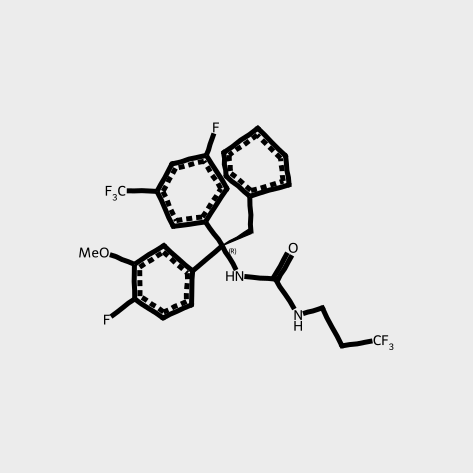 COc1cc([C@@](Cc2ccccc2)(NC(=O)NCCC(F)(F)F)c2cc(F)cc(C(F)(F)F)c2)ccc1F